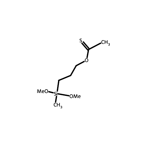 CO[Si](C)(CCCOC(C)=S)OC